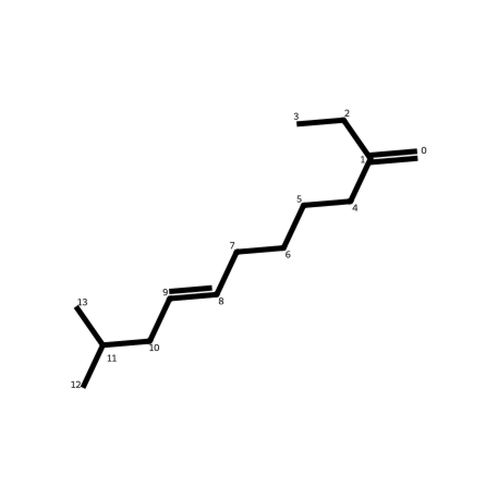 C=C(CC)CCCCC=CCC(C)C